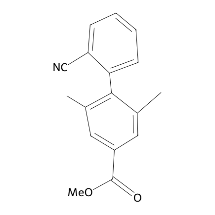 COC(=O)c1cc(C)c(-c2ccccc2C#N)c(C)c1